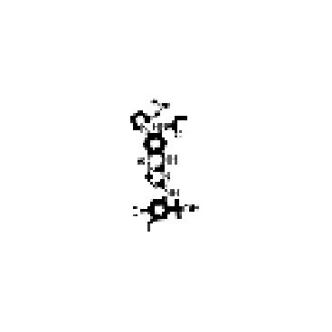 C=CC(=O)Nc1cc(Nc2ncnc(Nc3cc(Cl)c(F)cc3C(C)(C)O)n2)c(OC)cc1N1CCC[C@@H]1CN(C)C